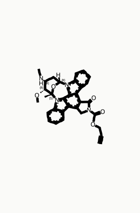 C#CCOC(=O)N1Cc2c(c3c4ccccc4n4c3c3c2c2ccccc2n3[C@@]2(C)O[C@@H]4C[C@@H](NC)[C@H]2OC)C1=O